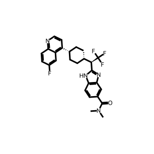 CN(C)C(=O)c1ccc2[nH]c([C@@H]([C@H]3CC[C@@H](c4ccnc5ccc(F)cc54)CC3)C(F)(F)F)nc2c1